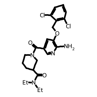 CCN(CC)C(=O)C1CCCN(C(=O)c2cnc(N)c(OCc3c(Cl)cccc3Cl)c2)C1